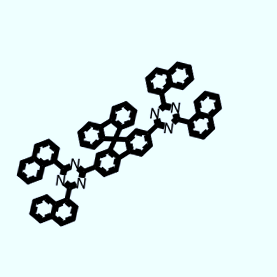 c1ccc2c(c1)-c1ccccc1C21c2cc(-c3nc(-c4cccc5ccccc45)nc(-c4cccc5ccccc45)n3)ccc2-c2ccc(-c3nc(-c4cccc5ccccc45)nc(-c4cccc5ccccc45)n3)cc21